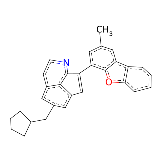 Cc1cc(C2=Cc3cc(CC4CCCC4)cc4ccnc2c34)c2oc3ccccc3c2c1